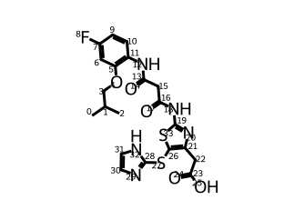 CC(C)COc1cc(F)ccc1NC(=O)CC(=O)Nc1nc(CC(=O)O)c(Sc2ncc[nH]2)s1